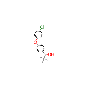 CC(C)(C)C(O)c1ccc(Oc2ccc(Cl)cc2)cc1